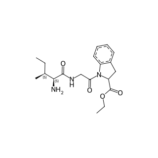 CCOC(=O)C1Cc2ccccc2N1C(=O)CNC(=O)[C@@H](N)[C@@H](C)CC